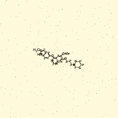 COc1cc2c(Oc3ccc4[nH]c(C)cc4c3)ncnc2cc1OCCCN1CCCCC1